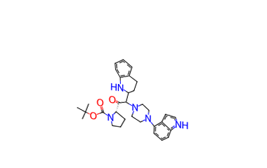 CC(C)(C)OC(=O)N1CCC[C@H]1C(=O)C(C1CCc2ccccc2N1)N1CCN(c2cccc3[nH]ccc23)CC1